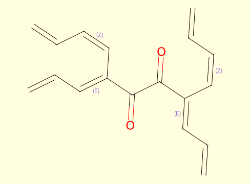 C=C/C=C\C(=C/C=C)C(=O)C(=O)C(/C=C\C=C)=C/C=C